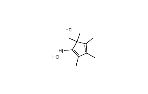 CC1=C(C)C(C)(C)[C]([Hf])=C1C.Cl.Cl